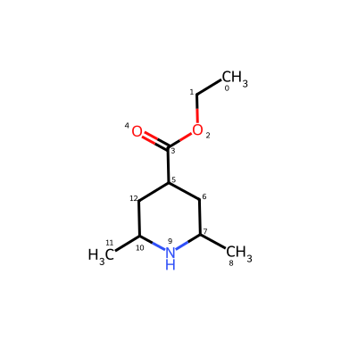 CCOC(=O)C1CC(C)NC(C)C1